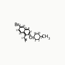 C[C@H]1CC[C@@H](Oc2ccc3cc(Br)ccc3c2CF)CC1